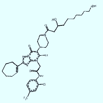 CCCCCCCCCCCCCCCCCC(O)CC(=O)N1CCN(c2c(CC)n(CC(=O)Nc3ccc(C(F)(F)F)cc3Cl)c3nc(C4=CCCCCC4)nn3c2=O)CC1